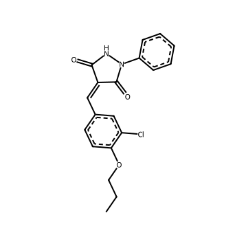 CCCOc1ccc(C=C2C(=O)NN(c3ccccc3)C2=O)cc1Cl